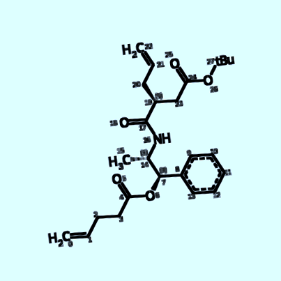 C=CCCC(=O)O[C@H](c1ccccc1)[C@H](C)NC(=O)[C@@H](CC=C)CC(=O)OC(C)(C)C